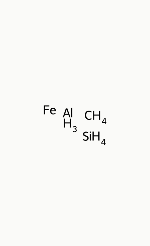 C.[AlH3].[Fe].[SiH4]